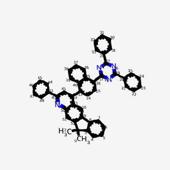 CC1(C)c2ccccc2-c2cc3c(-c4ccc(-c5nc(-c6ccccc6)nc(-c6ccccc6)n5)c5ccccc45)cc(-c4ccccc4)nc3cc21